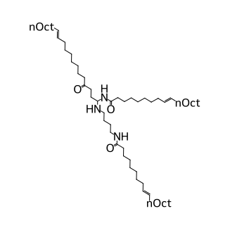 CCCCCCCCC=CCCCCCCCC(=O)CCC(NCCCCNC(=O)CCCCCCCC=CCCCCCCCC)NC(=O)CCCCCCCC=CCCCCCCCC